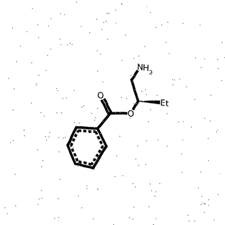 CC[C@H](CN)OC(=O)c1ccccc1